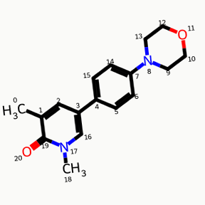 Cc1cc(-c2ccc(N3CCOCC3)cc2)cn(C)c1=O